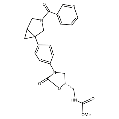 COC(=O)NC[C@H]1CN(c2ccc(C34CC3CN(C(=O)c3cccnc3)C4)cc2)C(=O)O1